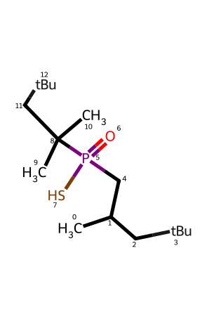 CC(CC(C)(C)C)CP(=O)(S)C(C)(C)CC(C)(C)C